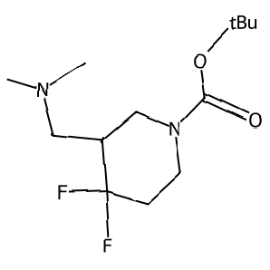 CN(C)CC1CN(C(=O)OC(C)(C)C)CCC1(F)F